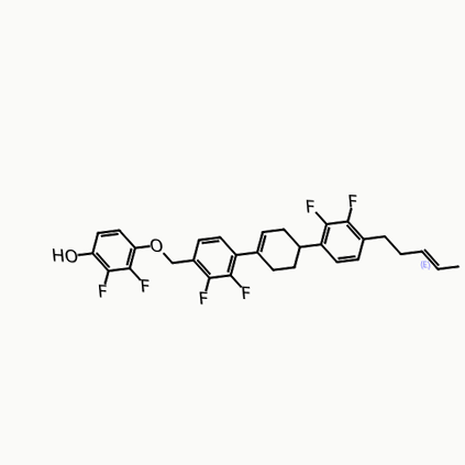 C/C=C/CCc1ccc(C2CC=C(c3ccc(COc4ccc(O)c(F)c4F)c(F)c3F)CC2)c(F)c1F